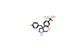 CC(O)(c1ccc2c(c1)OCC1NCCC21Cc1ccc(F)cc1)C(F)(F)F